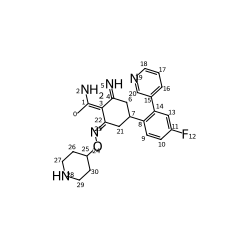 C/C(N)=C1/C(=N)CC(c2ccc(F)cc2-c2cccnc2)C/C1=N\OC1CCNCC1